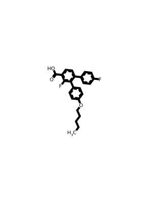 CCCCCOc1ccc(-c2c(-c3ccc(F)cc3)ccc(C(=O)O)c2F)cc1